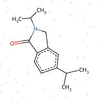 CC(C)c1ccc2c(c1)CN(C(C)C)C2=O